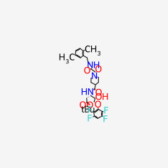 Cc1ccc(C)c(CCNC(=O)C(=O)N2CCC(C(=O)N[C@@H](CC(=O)OC(C)(C)C)C(O)COc3c(F)c(F)cc(F)c3F)CC2)c1